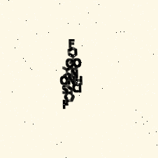 Cc1nc(NC(=O)c2sc3cc(F)ccc3c2Cl)c(C)c(C)c1OC(=O)c1ccc(F)cc1